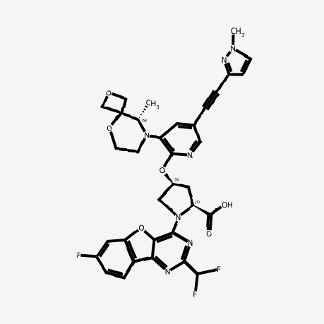 C[C@@H]1N(c2cc(C#Cc3ccn(C)n3)cnc2O[C@H]2C[C@@H](C(=O)O)N(c3nc(C(F)F)nc4c3oc3cc(F)ccc34)C2)CCOC12COC2